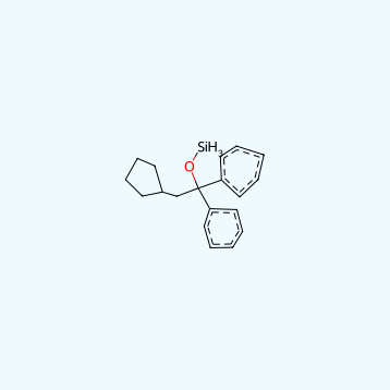 [SiH3]OC(CC1CCCC1)(c1ccccc1)c1ccccc1